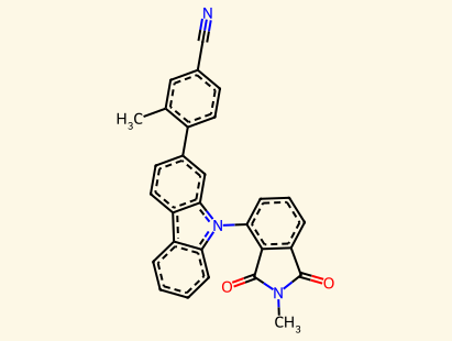 Cc1cc(C#N)ccc1-c1ccc2c3ccccc3n(-c3cccc4c3C(=O)N(C)C4=O)c2c1